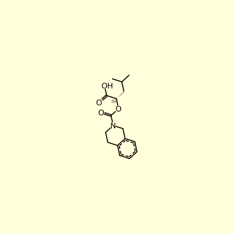 CC(C)C[C@H](OC(=O)N1CCc2ccccc2C1)C(=O)O